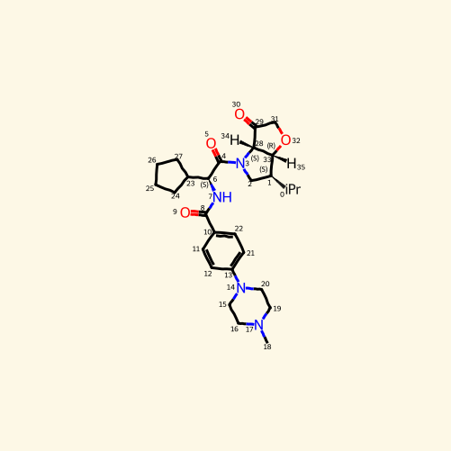 CC(C)[C@H]1CN(C(=O)[C@@H](NC(=O)c2ccc(N3CCN(C)CC3)cc2)C2CCCC2)[C@@H]2C(=O)CO[C@H]12